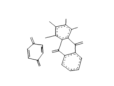 O=C1C=CC(=O)C=C1.O=C1c2ccccc2C(=O)c2c(F)c(F)c(F)c(F)c21